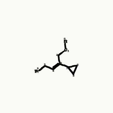 CCOC/C(=C\CC(C)C)C1CC1